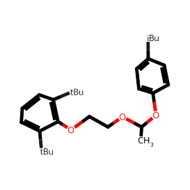 CCC(C)c1ccc(OC(C)OCCOc2c(C(C)(C)C)cccc2C(C)(C)C)cc1